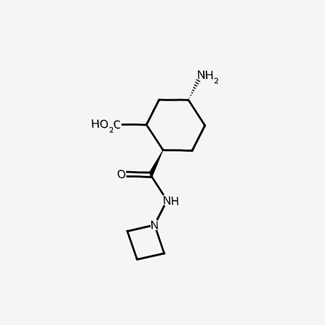 N[C@@H]1CC[C@@H](C(=O)NN2CCC2)C(C(=O)O)C1